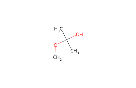 [CH2]OC(C)(C)O